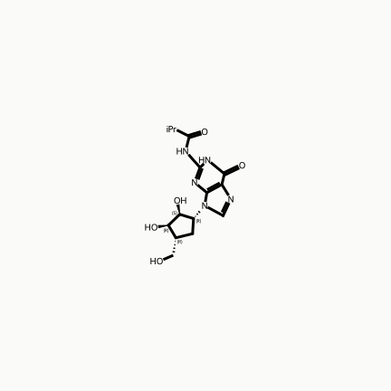 CC(C)C(=O)Nc1nc2c(ncn2[C@@H]2C[C@H](CO)[C@@H](O)[C@H]2O)c(=O)[nH]1